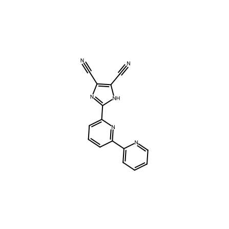 N#Cc1nc(-c2cccc(-c3ccccn3)n2)[nH]c1C#N